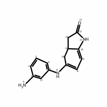 Nc1cccc(NC2=CC=C3NC(=O)CC3C2)c1